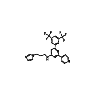 FC(F)(F)c1cc(-c2cc(NCCCn3ccnc3)nc(-c3ccncc3)n2)cc(C(F)(F)F)c1